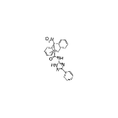 CC1(C(=O)Nc2nc(-c3ccccc3)n[nH]2)CC2([N+](=O)[O-])c3ccccc3C1c1ccccc12